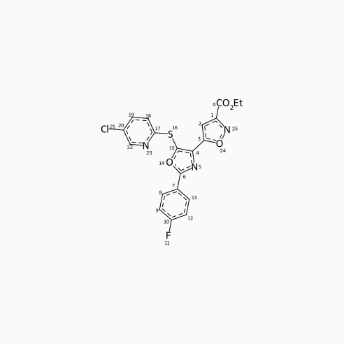 CCOC(=O)c1cc(-c2nc(-c3ccc(F)cc3)oc2Sc2ccc(Cl)cn2)on1